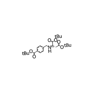 CC(C)(C)OC(=O)C[C@H](NCc1ccc(C(=O)OC(C)(C)C)cc1)C(=O)OC(C)(C)C